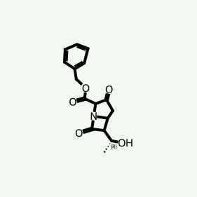 C[C@@H](O)C1C(=O)N2C(C(=O)OCc3ccccc3)C(=O)CC12